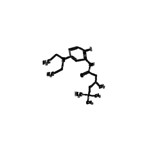 CCN(CC)c1ccc(I)c(NC(=O)CC(C)CC(C)(C)C)c1